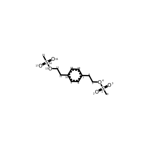 CS(=O)(=O)OCCc1ccc(CCOS(C)(=O)=O)cc1